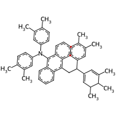 CC1=CC(C(Cc2c3ccccc3c(N(c3ccc(C)c(C)c3)c3ccc(C)c(C)c3)c3ccccc23)c2ccc(C)c(C)c2)=CC(C)C1C